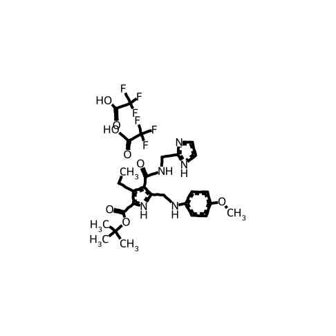 CCc1c(C(=O)OC(C)(C)C)[nH]c(CNc2ccc(OC)cc2)c1C(=O)NCc1ncc[nH]1.O=C(O)C(F)(F)F.O=C(O)C(F)(F)F